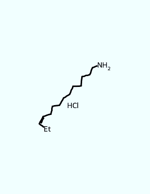 CC/C=C\CCCCCCCCCCN.Cl